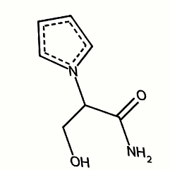 NC(=O)C(CO)n1cccc1